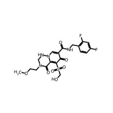 COCCN1CNn2cc(C(=O)NCc3ccc(F)cc3F)c(=O)c(S(=O)(=O)CO)c2C1=O